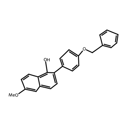 COc1ccc2c(O)c(-c3ccc(OCc4ccccc4)cc3)ccc2c1